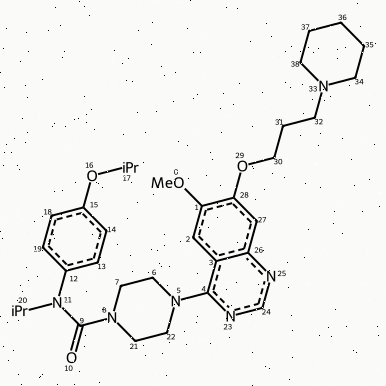 COc1cc2c(N3CCN(C(=O)N(c4ccc(OC(C)C)cc4)C(C)C)CC3)ncnc2cc1OCCCN1CCCCC1